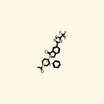 CC(=O)N1CC[C@H](N2Cc3ccc(-c4noc(C(F)(F)F)n4)cc3C2=O)[C@H](c2ccccc2)C1